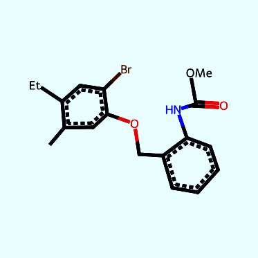 CCc1cc(Br)c(OCc2ccccc2NC(=O)OC)cc1C